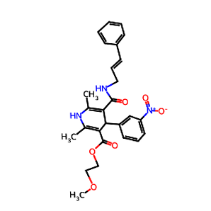 COCCOC(=O)C1=C(C)NC(C)=C(C(=O)NCC=Cc2ccccc2)C1c1cccc([N+](=O)[O-])c1